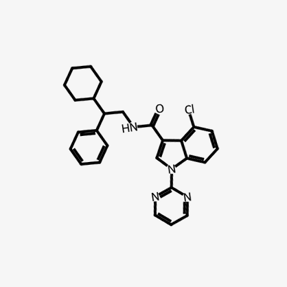 O=C(NCC(c1ccccc1)C1CCCCC1)c1cn(-c2ncccn2)c2cccc(Cl)c12